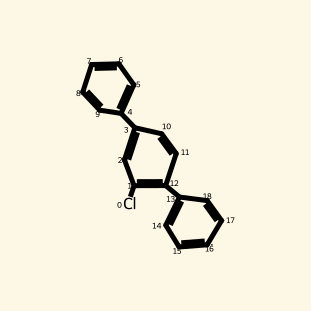 Clc1cc(-c2ccccc2)ccc1-c1cc[c]cc1